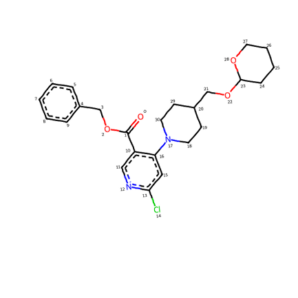 O=C(OCc1ccccc1)c1cnc(Cl)cc1N1CCC(COC2CCCCO2)CC1